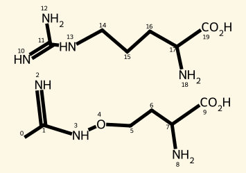 CC(=N)NOCCC(N)C(=O)O.N=C(N)NCCCC(N)C(=O)O